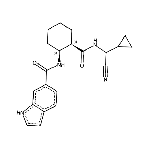 N#CC(NC(=O)[C@@H]1CCCC[C@@H]1NC(=O)c1ccc2cc[nH]c2c1)C1CC1